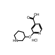 Cl.O=C(O)c1ccnc(OC2CCCNC2)c1